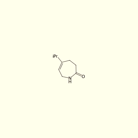 CC(C)C1=CCNC(=O)CC1